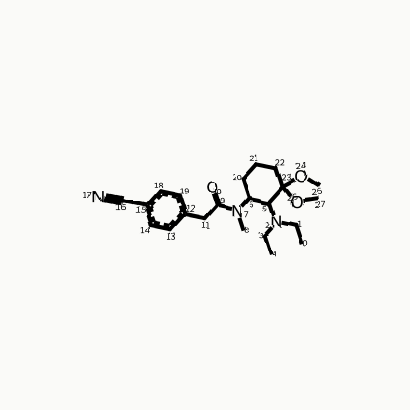 CCN(CC)C1C(N(C)C(=O)Cc2ccc(C#N)cc2)CCCC1(OC)OC